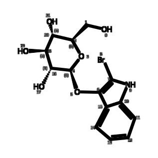 OC[C@H]1O[C@@H](Oc2c(Br)[nH]c3ccccc23)[C@H](O)[C@@H](O)[C@@H]1O